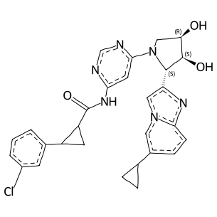 O=C(Nc1cc(N2C[C@@H](O)[C@@H](O)[C@@H]2c2cn3cc(C4CC4)ccc3n2)ncn1)C1CC1c1cccc(Cl)c1